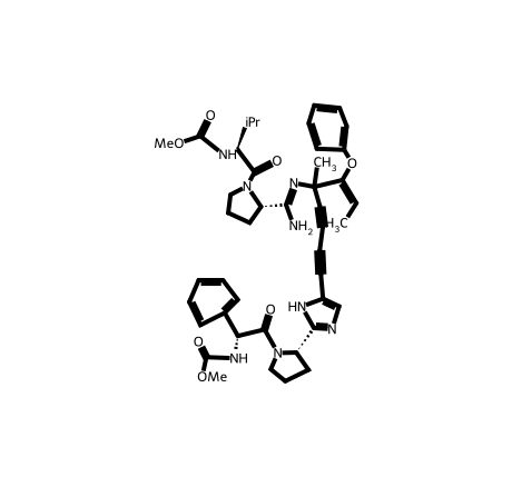 C/C=C(/Oc1ccccc1)C(C)(C#CC#Cc1cnc([C@@H]2CCCN2C(=O)[C@H](NC(=O)OC)c2ccccc2)[nH]1)/N=C(\N)[C@@H]1CCCN1C(=O)[C@@H](NC(=O)OC)C(C)C